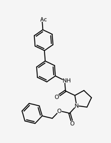 CC(=O)c1ccc(-c2cccc(NC(=O)C3CCCN3C(=O)OCc3ccccc3)c2)cc1